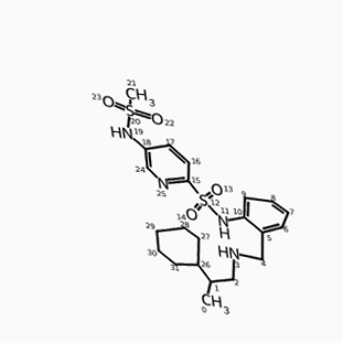 CC(CNCc1ccccc1NS(=O)(=O)c1ccc(NS(C)(=O)=O)cn1)C1CCCCC1